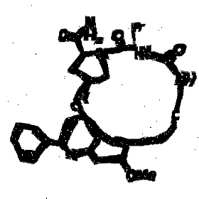 COc1cc2nc(-c3ccccc3)cc3c2cc1CCCCCNC(=O)N[C@@H](C(C)C)C(=O)N1C[C@@H](C[C@H]1C(N)=O)O3